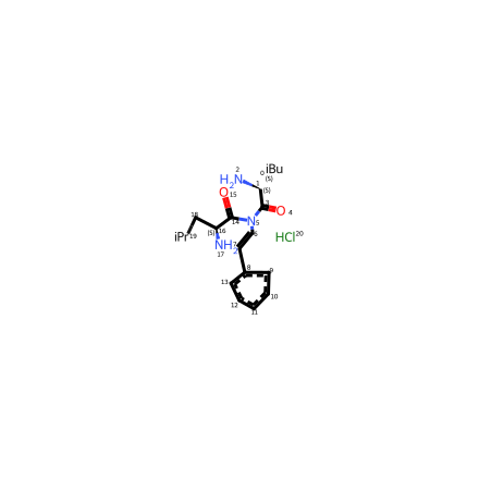 CC[C@H](C)[C@H](N)C(=O)N(C=Cc1ccccc1)C(=O)[C@@H](N)CC(C)C.Cl